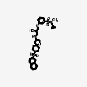 CN(C1CC1)S(=O)(=O)c1cccc(OCC(O)CNC2COC3(CCN(S(=O)(=O)c4ccc5ccccc5c4)CC3)C2)c1